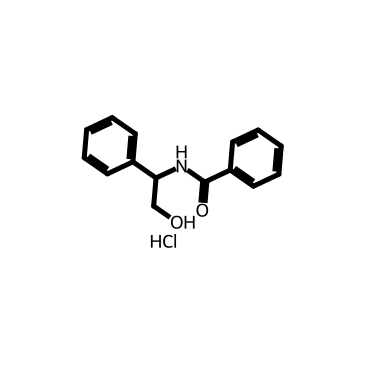 Cl.O=C(NC(CO)c1ccccc1)c1ccccc1